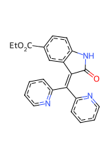 CCOC(=O)c1ccc2c(c1)C(=C(c1ccccn1)c1ccccn1)C(=O)N2